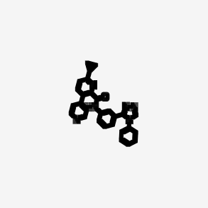 O=C(Nc1cccc(-c2nncn2-c2ccccc2)c1)c1nc(C2CC2)ccc1-c1ccncc1